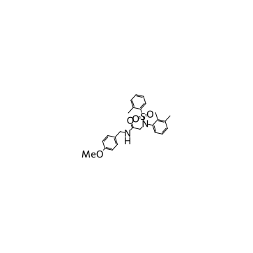 COc1ccc(CNC(=O)CN(c2cccc(C)c2C)S(=O)(=O)c2ccccc2C)cc1